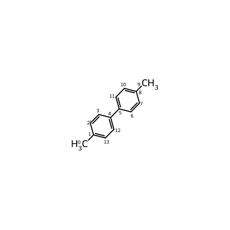 Cc1[c]cc(-c2ccc(C)cc2)cc1